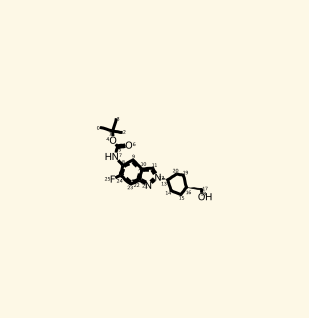 CC(C)(C)OC(=O)Nc1cc2cn([C@H]3CC[C@H](CO)CC3)nc2cc1F